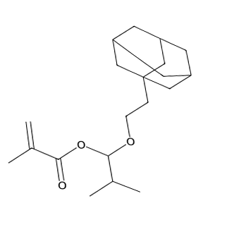 C=C(C)C(=O)OC(OCCC12CC3CC(CC(C3)C1)C2)C(C)C